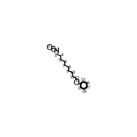 O=C=NCCCCCCCCCCOc1ccccc1